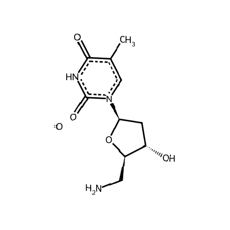 Cc1cn([C@H]2C[C@H](O)[C@@H](CN)O2)c(=O)[nH]c1=O.[O]